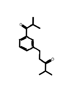 CC(C)C(=O)CCc1cccc(C(=O)C(C)C)c1